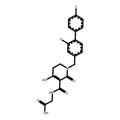 O=C(O)CNC(=O)C1=C(O)CCN(Cc2ccc(-c3ccc(F)cc3)c(F)c2)C1=O